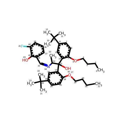 CCCCOc1ccc(C(C)(C)C)cc1C(O)(c1cc(C(C)(C)C)ccc1OCCCC)C(C)N=Cc1cccc(F)c1O